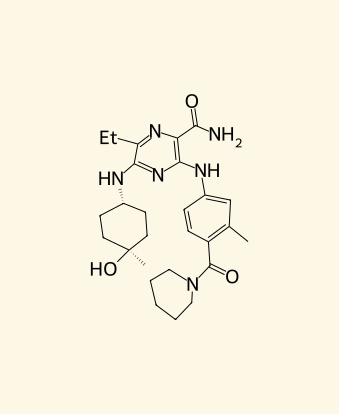 CCc1nc(C(N)=O)c(Nc2ccc(C(=O)N3CCCCC3)c(C)c2)nc1N[C@H]1CC[C@](C)(O)CC1